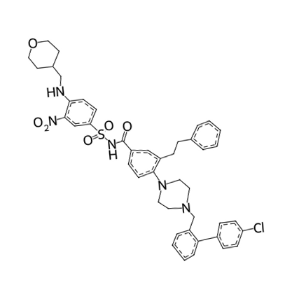 O=C(NS(=O)(=O)c1ccc(NCC2CCOCC2)c([N+](=O)[O-])c1)c1ccc(N2CCN(Cc3ccccc3-c3ccc(Cl)cc3)CC2)c(CCc2ccccc2)c1